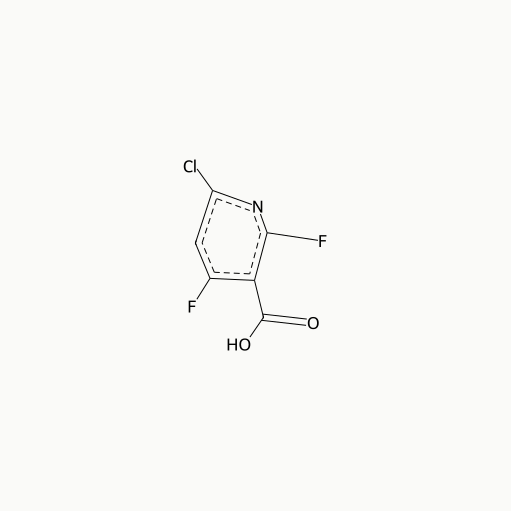 O=C(O)c1c(F)cc(Cl)nc1F